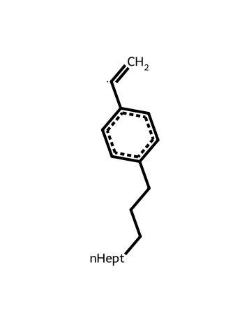 C=[C]c1ccc(CCCCCCCCCC)cc1